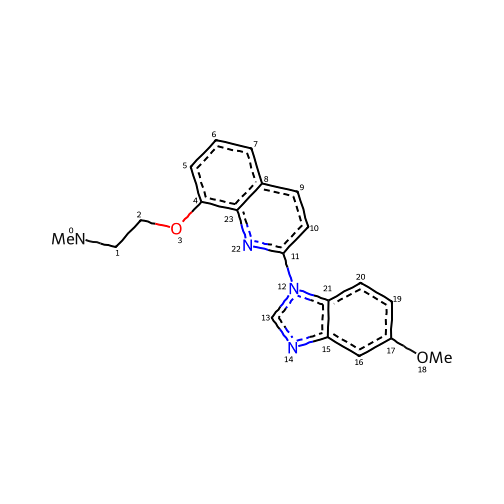 CNCCOc1cccc2ccc(-n3cnc4cc(OC)ccc43)nc12